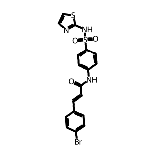 O=C(/C=C/c1ccc(Br)cc1)Nc1ccc(S(=O)(=O)Nc2nccs2)cc1